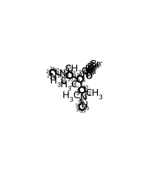 Cc1cc(-c2cc([N+](=O)[O-])cc(-c3cc(C)c(N=Cc4ccccn4)c(C)c3)c2C)cc(C)c1N=Cc1ccccn1.[Br-].[Br-].[Br-].[Br-].[Ni].[Ni]